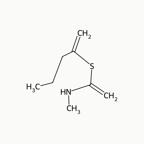 C=C(CCC)SC(=C)NC